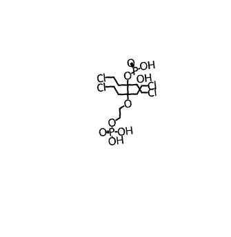 O=P(O)(O)OCCOC(CCCl)(CCCl)C(CCCl)(CCCl)OP(=O)(O)O